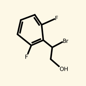 OCC(Br)c1c(F)cccc1F